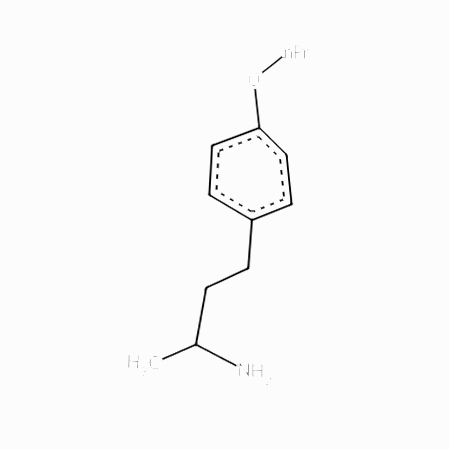 CCCOc1ccc(CCC(C)N)cc1